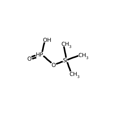 C[Si](C)(C)O[PH](=O)O